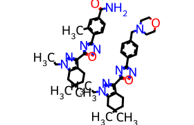 CCn1nc(-c2nc(-c3ccc(C(N)=O)cc3C)no2)c2c1CC(C)(C)CC2.CCn1nc(-c2nc(-c3ccc(CN4CCOCC4)cc3)no2)c2c1CC(C)(C)CC2